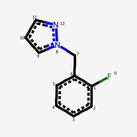 Fc1ccccc1Cn1cc[c]n1